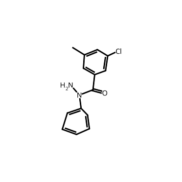 Cc1cc(Cl)cc(C(=O)N(N)c2ccccc2)c1